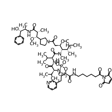 CC[C@H](C)[C@@H]([C@@H](CC(=O)N1CCC([C@H](OC)[C@@H](C)C(=O)N[C@H](C)[C@@H](O)c2ccccc2)C1)OC)N(C)C(=O)[C@@H](NC(=O)[C@H](C(C)C)N(C)P(=O)(O)OC(CCc1cccnc1)C(=O)NCCCCCC(=O)N1C(=O)C=CC1=O)C(C)C